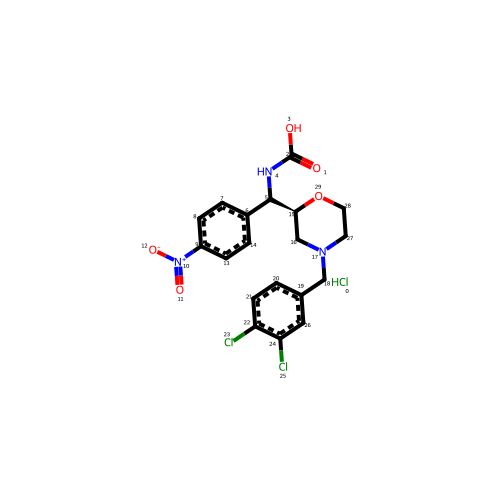 Cl.O=C(O)NC(c1ccc([N+](=O)[O-])cc1)[C@@H]1CN(Cc2ccc(Cl)c(Cl)c2)CCO1